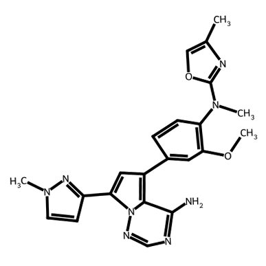 COc1cc(-c2cc(-c3ccn(C)n3)n3ncnc(N)c23)ccc1N(C)c1nc(C)co1